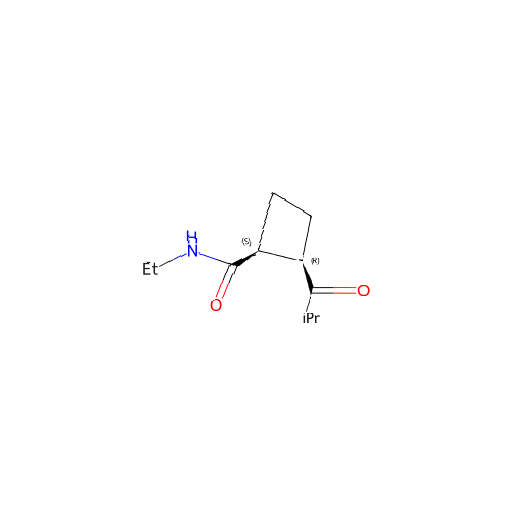 CCNC(=O)[C@H]1CC[C@H]1C(=O)C(C)C